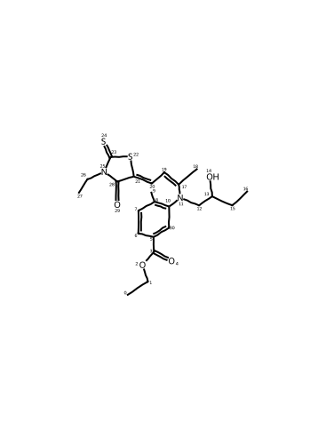 CCOC(=O)c1ccc(C)c(N(CC(O)CC)/C(C)=C\C=C2/SC(=S)N(CC)C2=O)c1